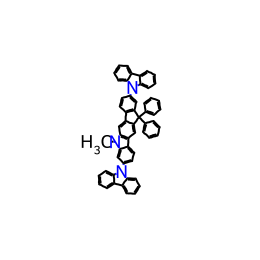 Cn1c2cc(-n3c4ccccc4c4ccccc43)ccc2c2cc3c(cc21)-c1ccc(-n2c4ccccc4c4ccccc42)cc1C3(c1ccccc1)c1ccccc1